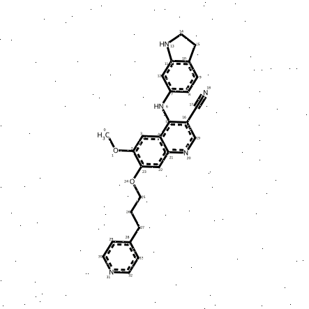 COc1cc2c(Nc3ccc4c(c3)NCC4)c(C#N)cnc2cc1OCCCc1ccncc1